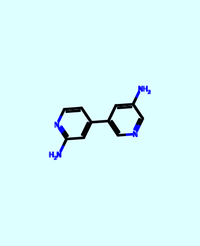 Nc1cncc(-c2ccnc(N)c2)c1